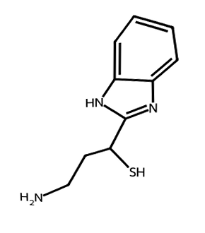 NCCC(S)c1nc2ccccc2[nH]1